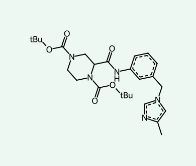 Cc1cn(Cc2cccc(NC(=O)C3CN(C(=O)OC(C)(C)C)CCN3C(=O)OC(C)(C)C)c2)cn1